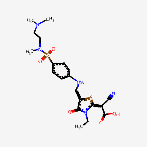 CCn1c(=C(C#N)C(=O)O)sc(=CNc2ccc(S(=O)(=O)N(C)CCN(C)C)cc2)c1=O